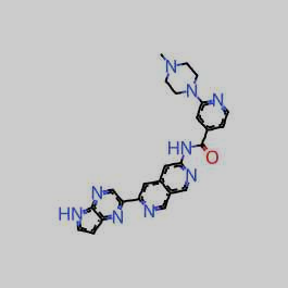 CN1CCN(c2cc(C(=O)Nc3cc4cc(-c5cnc6[nH]ccc6n5)ncc4cn3)ccn2)CC1